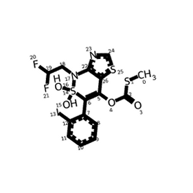 CSC(=O)OC1=C(c2ccccc2I)S(O)(O)N(CC(F)F)c2ncsc21